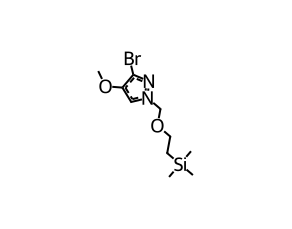 COc1cn(COCC[Si](C)(C)C)nc1Br